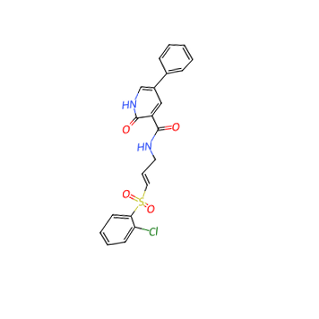 O=C(NC/C=C/S(=O)(=O)c1ccccc1Cl)c1cc(-c2ccccc2)c[nH]c1=O